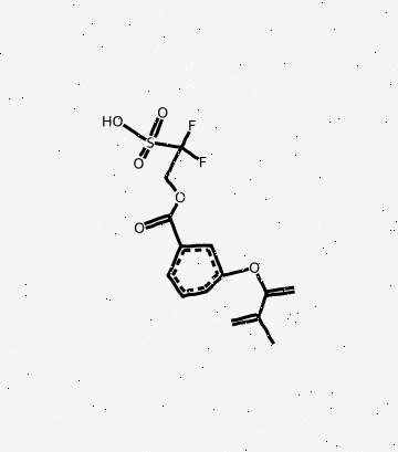 C=C(C)C(=C)Oc1cccc(C(=O)OCC(F)(F)S(=O)(=O)O)c1